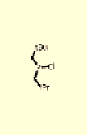 CC(C)CP(Cl)CC(C)(C)C